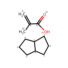 C1CC2CCCC2C1.C=C(C)C(=O)O